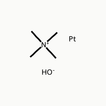 C[N+](C)(C)C.[OH-].[Pt]